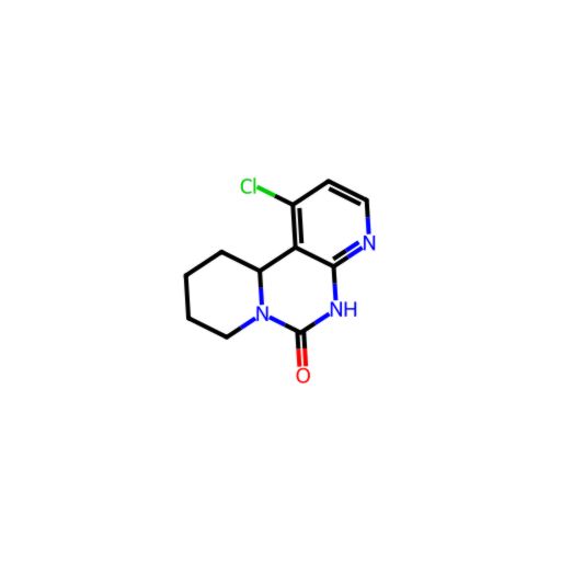 O=C1Nc2nccc(Cl)c2C2CCCCN12